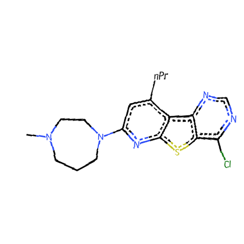 CCCc1cc(N2CCCN(C)CC2)nc2sc3c(Cl)ncnc3c12